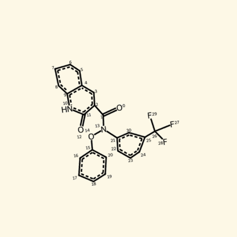 O=C(c1cc2ccccc2[nH]c1=O)N(Oc1ccccc1)c1cccc(C(F)(F)F)c1